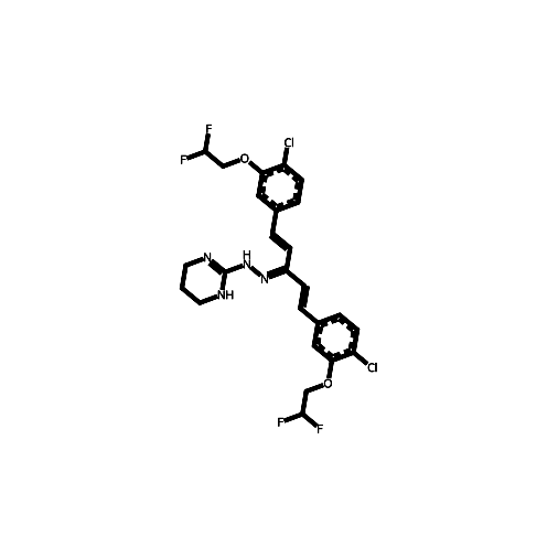 FC(F)COc1cc(C=CC(C=Cc2ccc(Cl)c(OCC(F)F)c2)=NNC2=NCCCN2)ccc1Cl